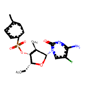 CC(=O)OC[C@H]1O[C@@H](n2cc(F)c(N)nc2=O)[C@H](OC(C)=O)[C@H]1OS(=O)(=O)c1ccc(C)cc1